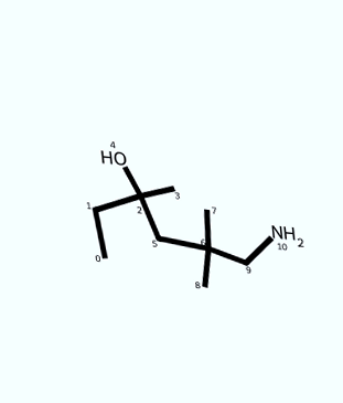 CCC(C)(O)CC(C)(C)CN